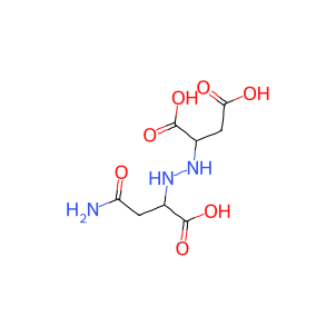 NC(=O)CC(NNC(CC(=O)O)C(=O)O)C(=O)O